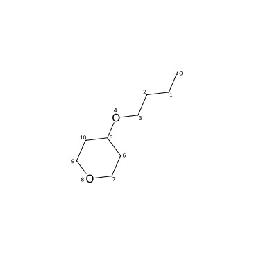 [CH2]CCCOC1CCOCC1